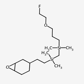 C[Si](C)(CCCOCCF)C[Si](C)(C)CCC1CCC2OC2C1